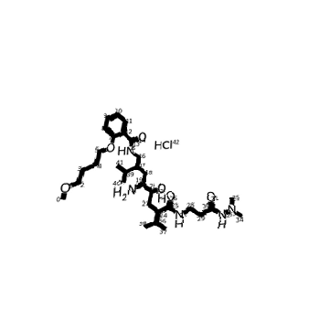 COCCCCOc1ccccc1C(=O)NCC(CC(N)C(O)CC(C(=O)NCCC(=O)NN(C)C)C(C)C)C(C)C.Cl